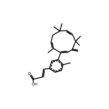 C=C1/C=C(c2cc(/C=C/C(=O)O)ccc2C)\C(C)=C/CC(C)(C)/C=C\C1(C)C